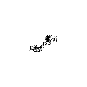 COC(=O)CCNC(=O)C(N=[N+]=[N-])c1ccc(OCC(COS(=O)(=O)c2cccc(C)c2)OC(C)=O)cc1